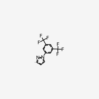 FC(F)(F)c1cc(-n2cc[c]n2)cc(C(F)(F)F)c1